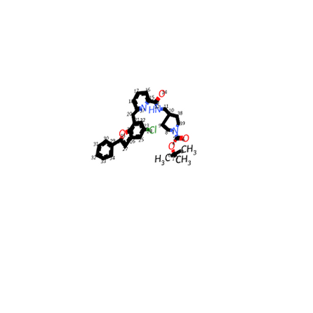 CC(C)(C)OC(=O)N1CCC(CNC(=O)c2cccc(Cc3cc(Cl)cc4cc(-c5ccccc5)oc34)n2)CC1